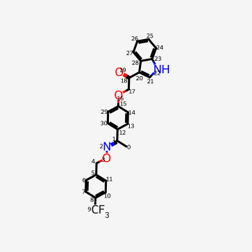 C/C(=N\OCc1ccc(C(F)(F)F)cc1)c1ccc(OCC(=O)c2c[nH]c3ccccc23)cc1